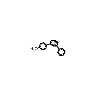 Cc1ccc(-c2cc3cc(-c4ccccc4)c2o3)cc1